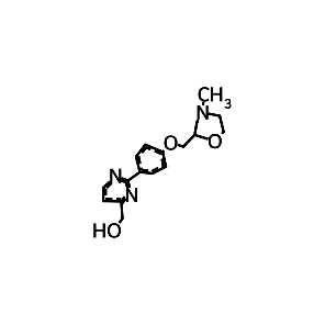 CN1CCOC(COc2ccc(-c3nccc(CO)n3)cc2)C1